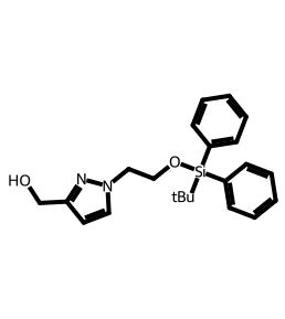 CC(C)(C)[Si](OCCn1ccc(CO)n1)(c1ccccc1)c1ccccc1